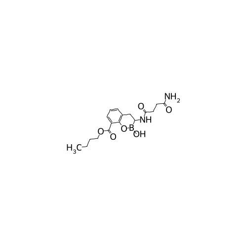 CCCCOC(=O)c1cccc2c1OB(O)C(NC(=O)CCC(N)=O)C2